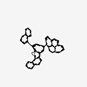 c1ccc2c(-c3cc(-c4ccc5ccc6cccc7ccc4c5c67)cc4c3oc3c5ccccc5ccc43)cccc2c1